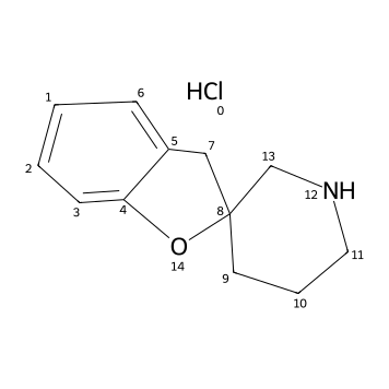 Cl.c1ccc2c(c1)CC1(CCCNC1)O2